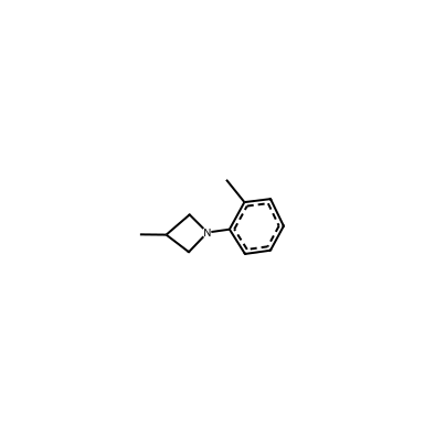 Cc1ccccc1N1CC(C)C1